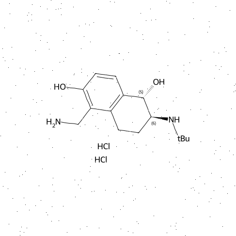 CC(C)(C)N[C@H]1CCc2c(ccc(O)c2CN)[C@@H]1O.Cl.Cl